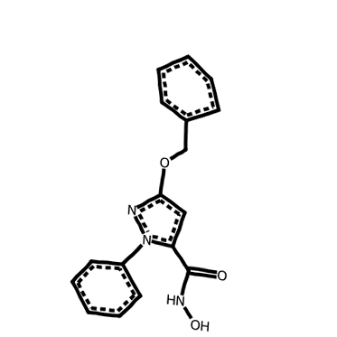 O=C(NO)c1cc(OCc2ccccc2)nn1-c1ccccc1